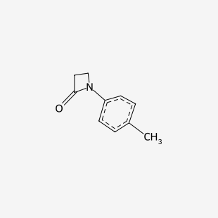 Cc1ccc(N2CCC2=O)cc1